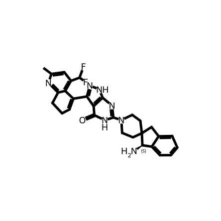 Cc1cc(C(F)F)c2c(n1)CCC=C2c1n[nH]c2nc(N3CCC4(CC3)Cc3ccccc3[C@H]4N)[nH]c(=O)c12